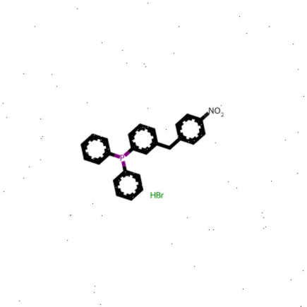 Br.O=[N+]([O-])c1ccc(Cc2cccc(P(c3ccccc3)c3ccccc3)c2)cc1